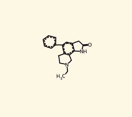 CCN1CCc2c(-c3ccccc3)cc3c(c2C1)NC(=O)C3